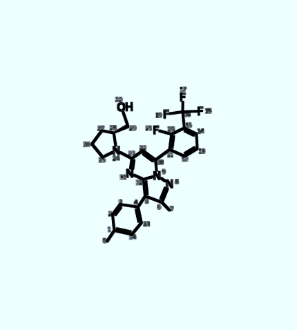 Cc1ccc(-c2c(C)nn3c(-c4cccc(C(F)(F)F)c4F)cc(N4CCC[C@H]4CO)nc23)cc1